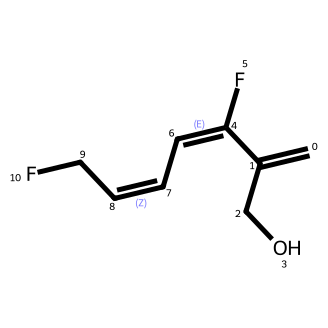 C=C(CO)/C(F)=C\C=C/CF